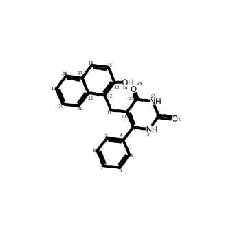 O=c1[nH]c(-c2ccccc2)c(Cc2c(O)ccc3ccccc23)c(=O)[nH]1